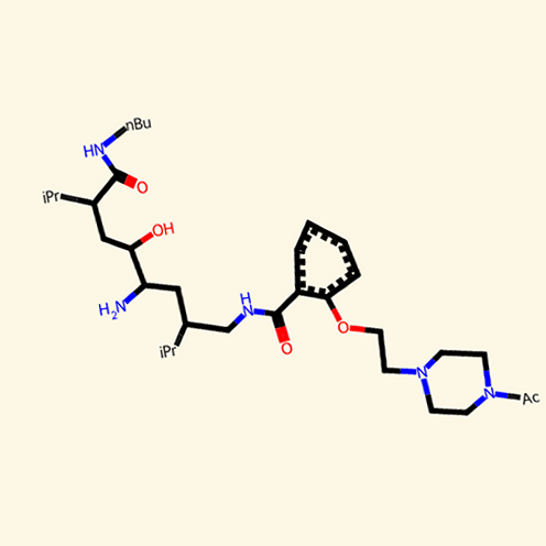 CCCCNC(=O)C(CC(O)C(N)CC(CNC(=O)c1ccccc1OCCN1CCN(C(C)=O)CC1)C(C)C)C(C)C